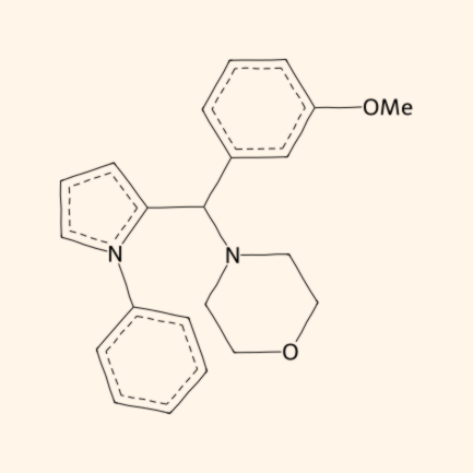 COc1cccc(C(c2cccn2-c2ccccc2)N2CCOCC2)c1